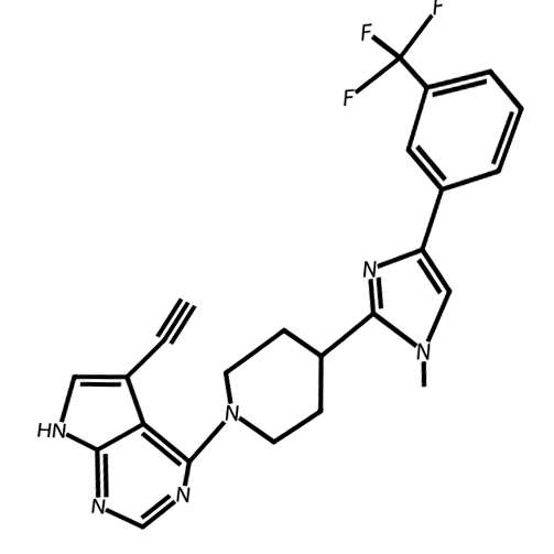 C#Cc1c[nH]c2ncnc(N3CCC(c4nc(-c5cccc(C(F)(F)F)c5)cn4C)CC3)c12